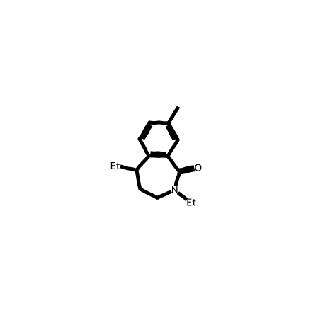 CCC1CCN(CC)C(=O)c2cc(C)ccc21